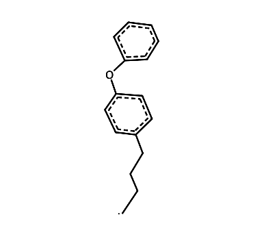 [CH2]CCCc1ccc(Oc2ccccc2)cc1